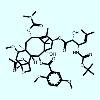 COc1ccc(OC)c(C(=O)O[C@H]2[C@H]3[C@](C)(C[C@H](OC(=O)N(C)C)C4=C(C)[C@@H](OC(=O)[C@H](O)[C@H](C=C(C)C)NC(=O)OC(C)(C)C)C[C@]2(O)C4(C)C)[C@H](OC)C[C@H]2OC[C@]23OC(C)=O)c1